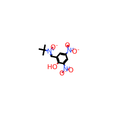 CC(C)(C)[N+]([O-])=Cc1cc([N+](=O)[O-])cc([N+](=O)[O-])c1O